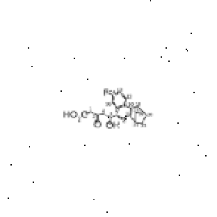 O=C(O)CC(=O)CC(O)/C=C/C1=C(c2ccc(F)cc2)CC2CCC1C2